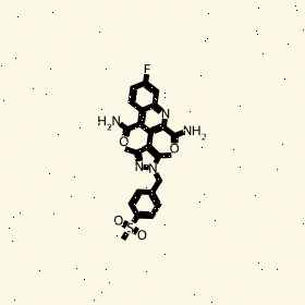 Cc1nn(Cc2ccc(S(C)(=O)=O)cc2)c(C)c1-c1c(C(N)=O)nc2cc(F)ccc2c1C(N)=O